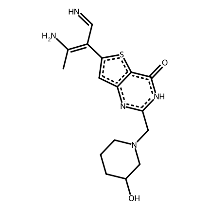 C/C(N)=C(/C=N)c1cc2nc(CN3CCCC(O)C3)[nH]c(=O)c2s1